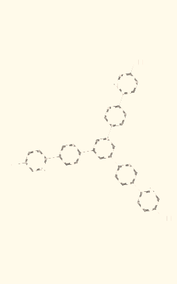 Cc1ccc(-c2ccc(-c3cc(-c4ccc(-c5ccc(C)cn5)cc4)cc(-c4ccc(-c5ccc(C)cn5)cc4)c3)cc2)nc1